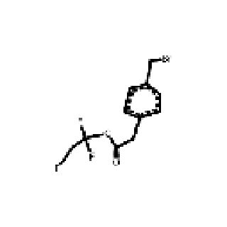 O=C(Cc1ccc(CBr)cc1)OC(F)(F)CF